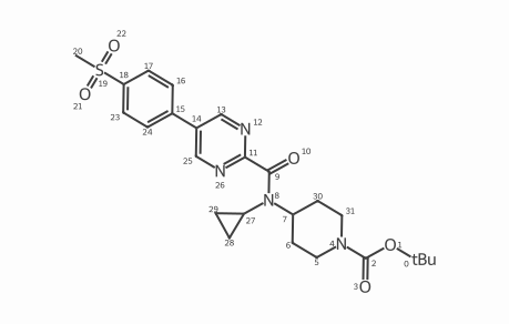 CC(C)(C)OC(=O)N1CCC(N(C(=O)c2ncc(-c3ccc(S(C)(=O)=O)cc3)cn2)C2CC2)CC1